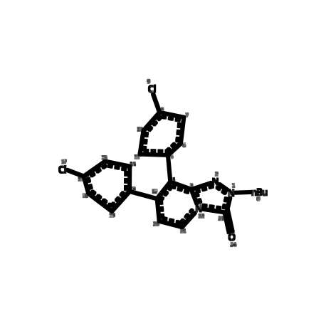 CCCCn1nc2c(-c3ccc(Cl)cc3)c(-c3ccc(Cl)cc3)ccn2c1=O